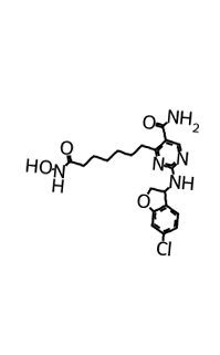 NC(=O)c1cnc(NC2COc3cc(Cl)ccc32)nc1CCCCCCC(=O)NO